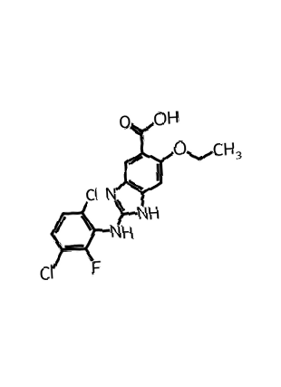 CCOc1cc2[nH]c(Nc3c(Cl)ccc(Cl)c3F)nc2cc1C(=O)O